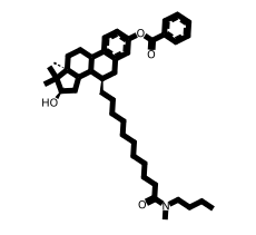 CCCCN(C)C(=O)CCCCCCCCCC[C@@H]1Cc2cc(OC(=O)c3ccccc3)ccc2C2CC[C@@]3(C)C(C[C@@H](O)C3(C)C)C21